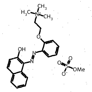 COS(=O)(=O)[O-].C[N+](C)(C)CCOc1ccccc1N=Nc1c(O)ccc2ccccc12